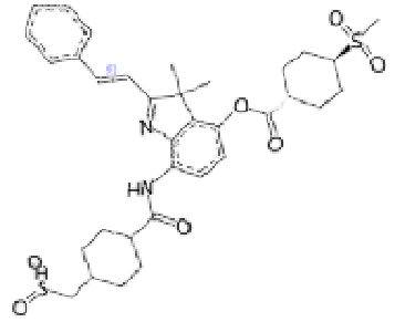 CC1(C)C(/C=C/c2ccccc2)=Nc2c(NC(=O)C3CCC(C[SH](=O)=O)CC3)ccc(OC(=O)[C@H]3CC[C@H](S(C)(=O)=O)CC3)c21